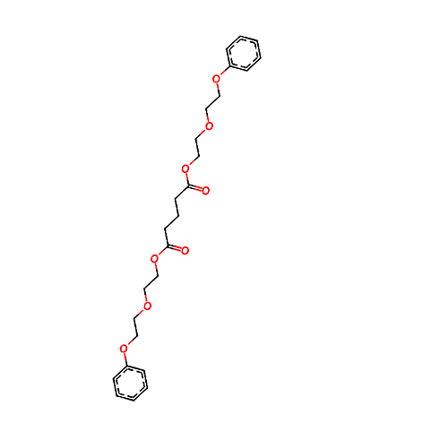 O=C(CCCC(=O)OCCOCCOc1ccccc1)OCCOCCOc1ccccc1